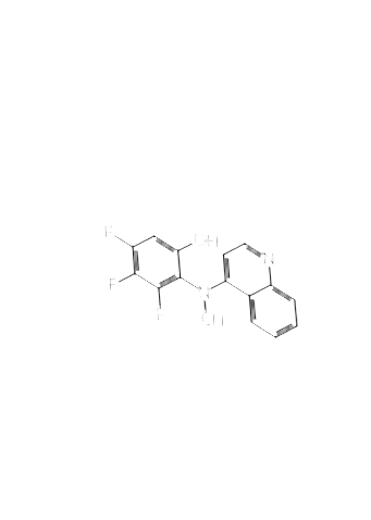 CN(c1c(O)cc(F)c(F)c1F)c1ccnc2ccccc12